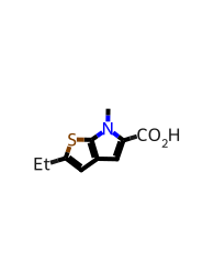 CCc1cc2cc(C(=O)O)n(C)c2s1